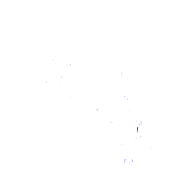 Cc1nc(N[C@H]2CCNC2)ccc1B1OC(C)(C)C(C)(C)O1